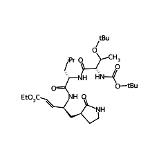 CCOC(=O)/C=C/[C@H](C[C@@H]1CCNC1=O)NC(=O)[C@H](CC(C)C)NC(=O)[C@@H](NC(=O)OC(C)(C)C)C(C)OC(C)(C)C